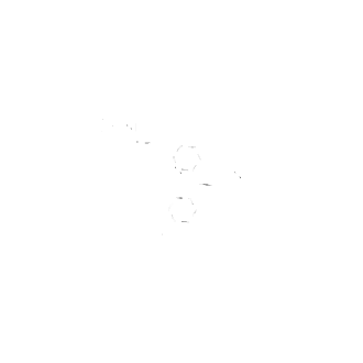 Cc1ccc(C(=CCN2CCCC2)c2cccc(CC=CNC3CC3)n2)cc1